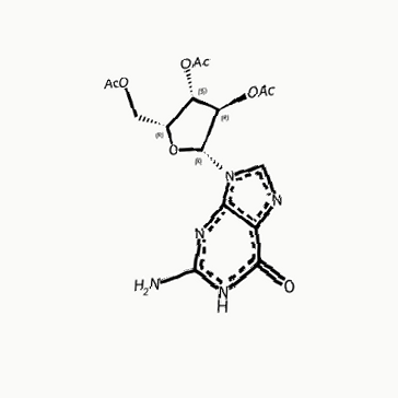 CC(=O)OC[C@H]1O[C@@H](n2cnc3c(=O)[nH]c(N)nc32)[C@H](OC(C)=O)[C@H]1OC(C)=O